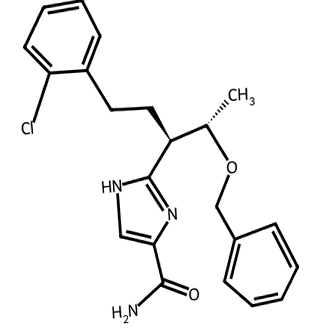 C[C@H](OCc1ccccc1)[C@H](CCc1ccccc1Cl)c1nc(C(N)=O)c[nH]1